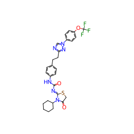 O=C(N=C1SCC(=O)N1C1CCCCC1)Nc1ccc(CCc2ncn(-c3ccc(OC(F)(F)F)cc3)n2)cc1